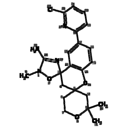 CN1OC2(CC3(CCOC(C)(C)C3)Oc3ccc(-c4cccc(Cl)n4)cc32)N=C1N